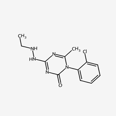 CCNNc1nc(C)n(-c2ccccc2Cl)c(=O)n1